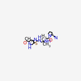 CC(=O)C1Cc2nc(NCC(C)(C)NCC(=O)N3CCC[C@H]3C#N)sc2CN1